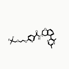 Cc1cnc(-c2cccc3c2C[C@H](NC(=O)c2ccc(OCCOCC(F)(F)F)nc2)CO3)c(C)n1